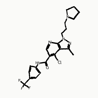 Cc1nn(CCCN2CCCC2)c2ncc(C(=O)Nc3ccc(C(F)(F)F)cc3)c(Cl)c12